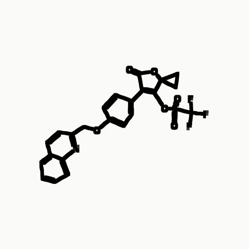 O=C1OC2(CC2)C(OS(=O)(=O)C(F)(F)F)=C1c1ccc(OCc2ccc3ccccc3n2)cc1